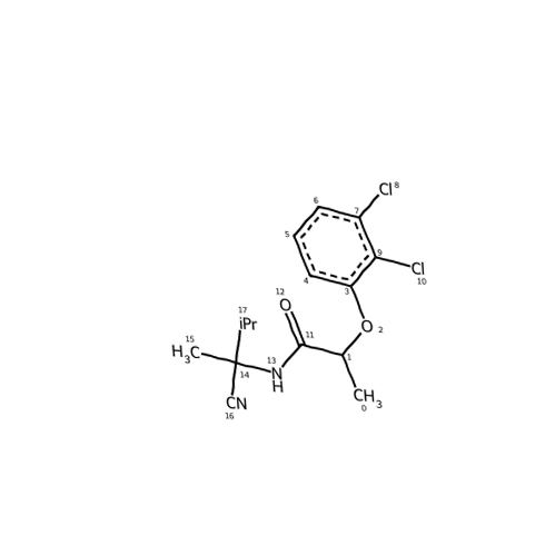 CC(Oc1cccc(Cl)c1Cl)C(=O)NC(C)(C#N)C(C)C